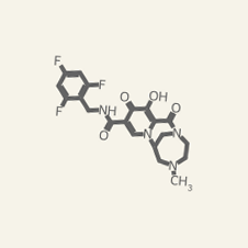 CN1CCN2CC(C1)n1cc(C(=O)NCc3c(F)cc(F)cc3F)c(=O)c(O)c1C2=O